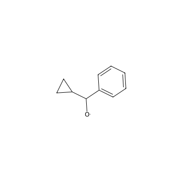 [O]C(c1ccccc1)C1CC1